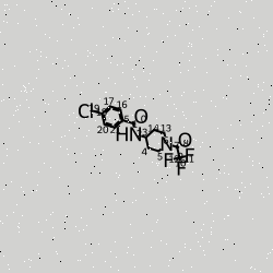 O=C(NC1CCN(C(=O)C(F)(F)F)CC1)c1ccc(Cl)cc1